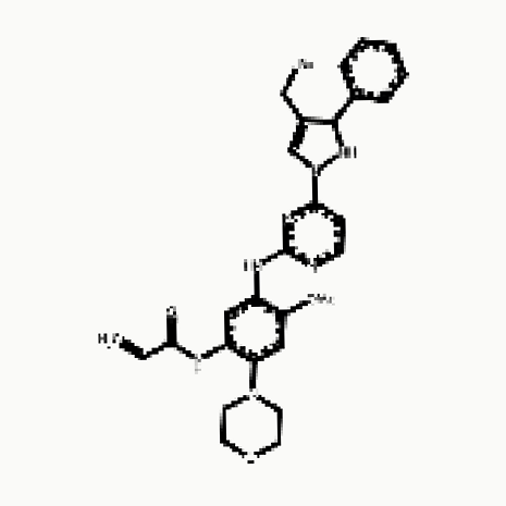 C=CC(=O)Nc1cc(Nc2nccc(N3C=C(CC(C)CC)C(c4ccccc4)N3)n2)c(OC)cc1N1CCOCC1